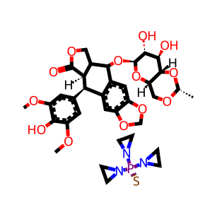 COc1cc([C@@H]2c3cc4c(cc3C(O[C@@H]3O[C@@H]5CO[C@@H](C)O[C@H]5[C@H](O)[C@H]3O)C3COC(=O)[C@@H]32)OCO4)cc(OC)c1O.S=P(N1CC1)(N1CC1)N1CC1